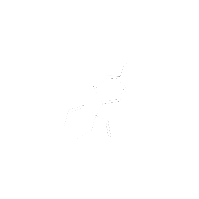 C=CC1(c2ccc([SiH3])cc2)C=CC=CC1